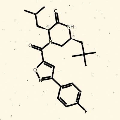 CC(C)C[C@H]1C(=O)N[C@@H](CC(C)(C)C)CN1C(=O)c1cc(-c2ccc(F)cc2)no1